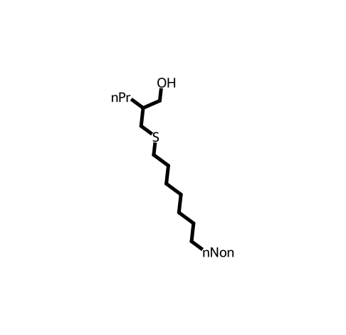 CCCCCCCCCCCCCCCCSCC(CO)CCC